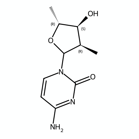 C[C@H]1OC(n2ccc(N)nc2=O)[C@H](C)[C@@H]1O